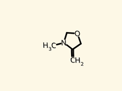 C=C1COCN1C